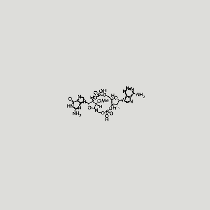 CO[C@H]1[C@H]2OP(=O)(O)OC[C@H]3O[C@@H](n4cnc5c(N)nnnc54)[C@H](C)[C@@H]3OP(=O)(O)OC[C@H]1O[C@H]2n1cnc2c(=O)[nH]c(N)nc21